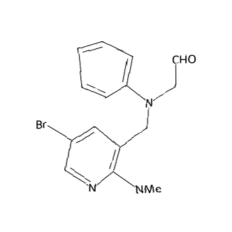 CNc1ncc(Br)cc1CN(CC=O)c1ccccc1